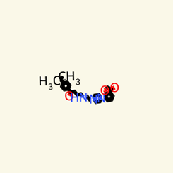 CC(C)c1ccc(C(=O)CCCNCCN2CCN(c3cccc4c3OCC4=O)CC2)cc1